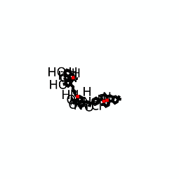 CN1CC[C@]23c4c5c(CCCNc6ccc7c(NC(=O)c8ccc(N9CCN(CC%10=C(c%11ccc(Cl)cc%11)CCC(C)(C)C%10)CC9)cc8)ncnc7c6[N+](=O)[O-])cc(O)c4O[C@H]2[C@@H](O)C=C[C@H]3[C@H]1C5